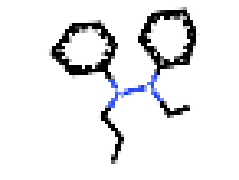 CCCN(c1ccccc1)N(CC)c1ccccc1